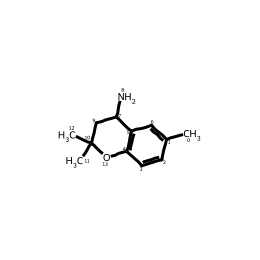 Cc1ccc2c(c1)C(N)CC(C)(C)O2